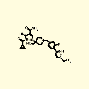 N#CCC1(N/C=C(\C(=N)NC(=O)C2CC2)C(N)=O)CCN(Cc2ccc(C(=N)/C=C\NCC(F)(F)F)c(F)c2)CC1